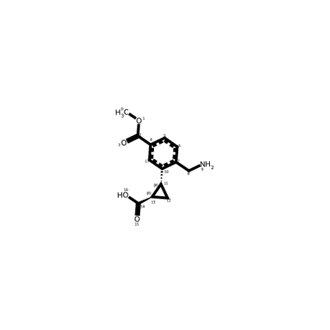 COC(=O)c1ccc(CN)c([C@@H]2C[C@H]2C(=O)O)c1